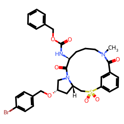 CN1CCC[C@H](NC(=O)OCc2ccccc2)C(=O)N2C[C@@H](OCc3ccc(Br)cc3)C[C@H]2CS(=O)(=O)c2cccc(c2)C1=O